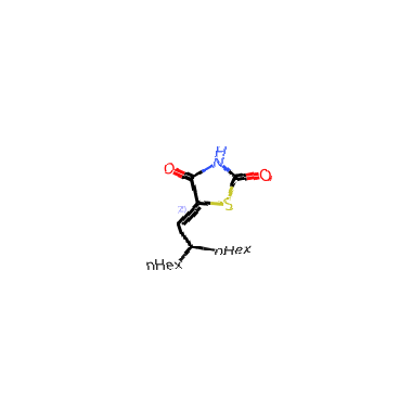 CCCCCCC(/C=C1\SC(=O)NC1=O)CCCCCC